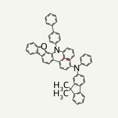 CC1(C)c2ccccc2-c2ccc(N(c3ccccc3)c3ccc(-c4ccc5c(oc6ccccc65)c4N(c4ccccc4)c4ccc(-c5ccccc5)cc4)cc3)cc21